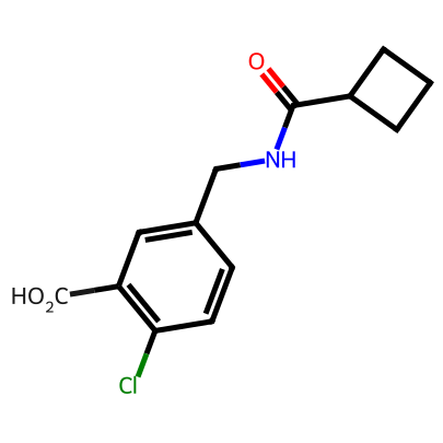 O=C(O)c1cc(CNC(=O)C2CCC2)ccc1Cl